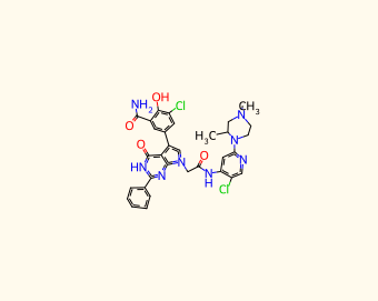 CC1CN(C)CCN1c1cc(NC(=O)Cn2cc(-c3cc(Cl)c(O)c(C(N)=O)c3)c3c(=O)[nH]c(-c4ccccc4)nc32)c(Cl)cn1